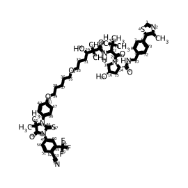 Cc1ncsc1-c1ccc(CNC(=O)[C@@H]2C[C@@H](O)CN2C(=O)C(NC(=O)C(C)(C)C(O)CCCOCCCCCOc2ccc(N3C(=S)N(c4ccc(C#N)c(C(F)(F)F)c4)C(=O)C3(C)C)cc2)C(C)(C)C)cc1